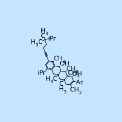 CC(=O)C1=C(C)CC2(C)CC3(C)Cc4c(C(C)C)cc(C#CCCC(C)(C)C(C)C)c(C)c4C(O)C3C(C)C2(C)C1O